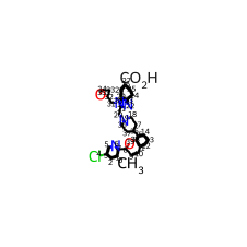 Cc1cc(Cl)cnc1C1C=Cc2cccc(C3CCN(Cc4nc5ccc(C(=O)O)cc5n4CC4CCO4)CC3)c2O1